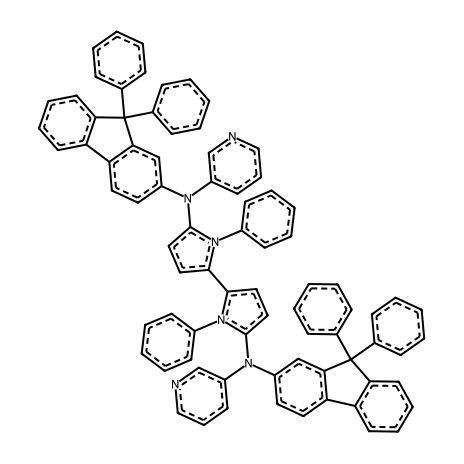 c1ccc(-n2c(-c3ccc(N(c4cccnc4)c4ccc5c(c4)C(c4ccccc4)(c4ccccc4)c4ccccc4-5)n3-c3ccccc3)ccc2N(c2cccnc2)c2ccc3c(c2)C(c2ccccc2)(c2ccccc2)c2ccccc2-3)cc1